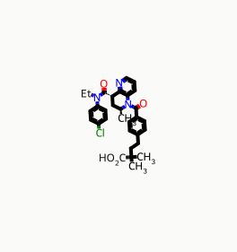 CCN(C(=O)[C@H]1C[C@H](C)N(C(=O)c2ccc(CCC(C)(C)C(=O)O)cc2)c2cccnc21)c1ccc(Cl)cc1